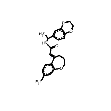 CC(NC(=O)/C=C1\CCCOc2cc(C(F)(F)F)ccc21)c1ccc2c(c1)OCCO2